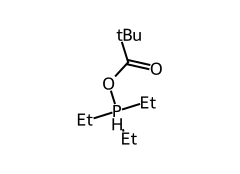 CC[PH](CC)(CC)OC(=O)C(C)(C)C